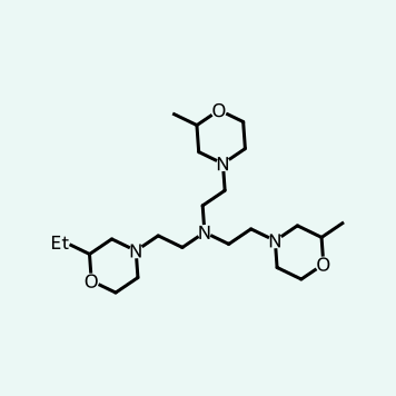 CCC1CN(CCN(CCN2CCOC(C)C2)CCN2CCOC(C)C2)CCO1